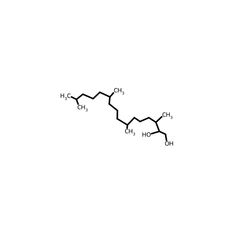 CC(C)CCCC(C)CCCC(C)CCCC(C)C(O)CO